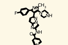 Cn1nc(-c2ccc(F)cc2)c(-c2ccc3nc(NC(=O)c4ccncc4)cn3n2)c1N1CCNCC1